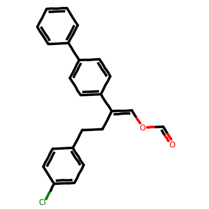 O=CO/C=C(\CCc1ccc(Cl)cc1)c1ccc(-c2ccccc2)cc1